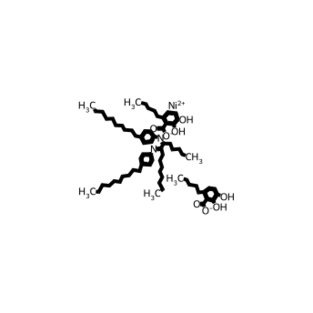 CCCCCCCCCCc1ccc(N=C(CCCCC)C(CCCCCCCC)=Nc2ccc(CCCCCCCCCC)cc2)cc1.CCCCCc1ccc(O)c(O)c1C(=O)[O-].CCCCCc1ccc(O)c(O)c1C(=O)[O-].[Ni+2]